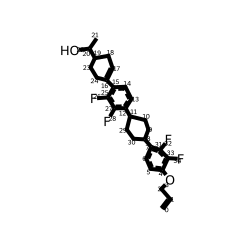 C=CCOc1ccc(C2CCC(c3ccc(C4=CCC(C(C)O)CC4)c(F)c3F)CC2)c(F)c1F